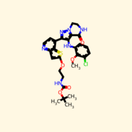 COc1c(Cl)cccc1Nc1c(-c2ccnc3cc(OCCNC(=O)OC(C)(C)C)sc23)nn2c1C(=O)NCC2